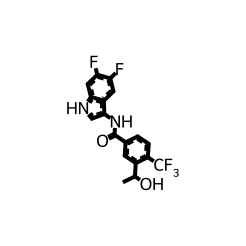 CC(O)c1cc(C(=O)Nc2c[nH]c3cc(F)c(F)cc23)ccc1C(F)(F)F